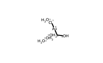 O.O.O.O.O[CH2][Au][Cl]